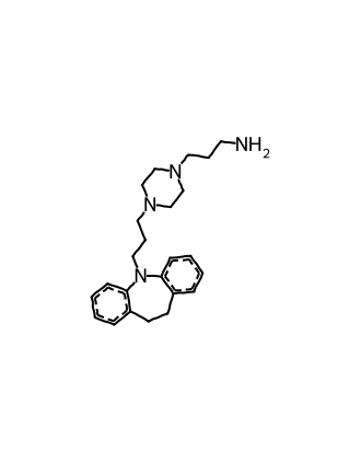 NCCCN1CCN(CCCN2c3ccccc3CCc3ccccc32)CC1